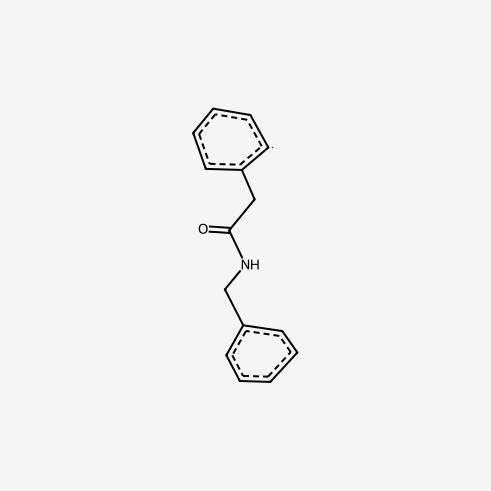 O=C(Cc1[c]cccc1)NCc1ccccc1